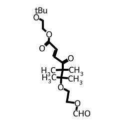 CC(C)(C)OCCOC(=O)/C=C/C(=O)C(C)(C)C(C)(C)OCCOC=O